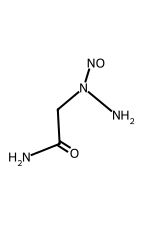 NC(=O)CN(N)N=O